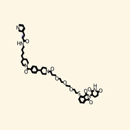 O=C(/C=C/c1cccnc1)NCCCCC1CCN(C(=O)c2ccc(C3CCN(C(=O)CCOCCOCCOCCSc4cccc5c4C(=O)N(C4CCC(=O)NC4=O)C5=O)CC3)cc2)CC1